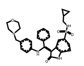 O=C1Nc2ccc(S(=O)(=O)NCC3CC3)cc2/C1=C(/Nc1ccc(CN2CCOCC2)cc1)c1ccccc1